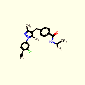 C#Cc1ccc(-n2nc(C)c(Cc3ccc(C(=O)NC(C)C)cc3)c2C)cc1Cl